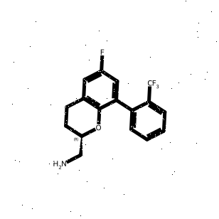 NC[C@H]1CCc2cc(F)cc(-c3ccccc3C(F)(F)F)c2O1